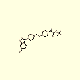 CC(C)(C)OC(=O)NC1CCC(CCN2CCC(c3noc4cc(Cl)ccc34)CC2)CC1